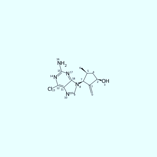 C=C1[C@H](O)C[C@H](C)[C@@H]1n1cnc2c(Cl)nc(N)nc21